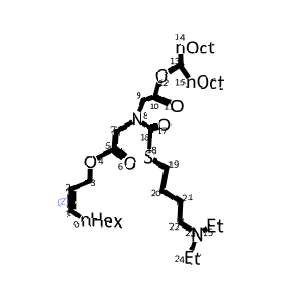 CCCCCC/C=C\COC(=O)CN(CC(=O)OC(CCCCCCCC)CCCCCCCC)C(=O)SCCCCN(CC)CC